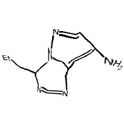 CCC1N=Nc2c(N)cnn21